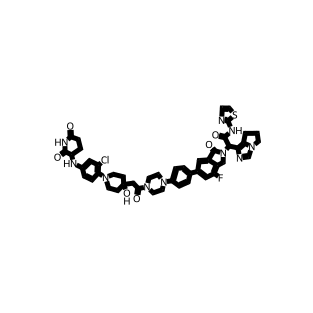 O=C1CCC(Nc2ccc(N3CCC(O)(CC(=O)N4CCN(c5ccc(-c6cc(F)c7c(c6)C(=O)N(C(C(=O)Nc6nccs6)c6ncn8c6CCC8)C7)cc5)CC4)CC3)c(Cl)c2)C(=O)N1